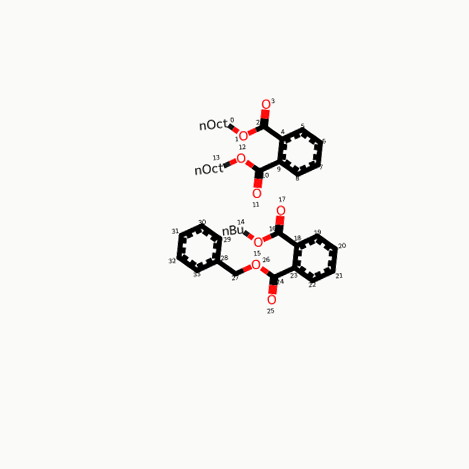 CCCCCCCCOC(=O)c1ccccc1C(=O)OCCCCCCCC.CCCCOC(=O)c1ccccc1C(=O)OCc1ccccc1